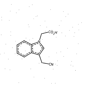 N#CCc1cn(CC(=O)O)c2ccccc12